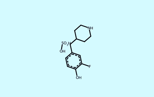 O=S(=O)(O)O.Oc1ccc(CC2CCNCC2)cc1F